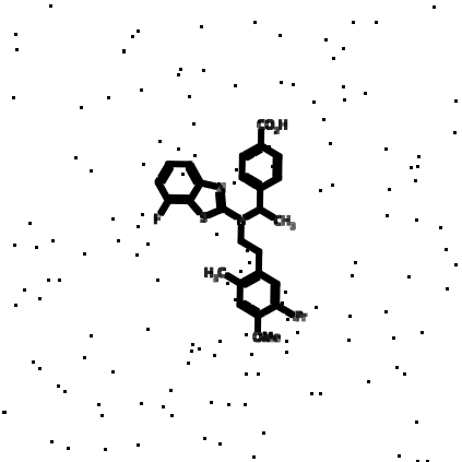 COc1cc(C)c(CCN(c2nc3cccc(F)c3s2)C(C)c2ccc(C(=O)O)cc2)cc1C(C)C